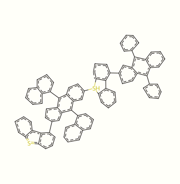 c1ccc(-c2c3ccccc3c(-c3ccccc3)c3cc(-c4cccc5c4-c4ccccc4[SH]5c4ccc5c(-c6cccc7ccccc67)c6ccc(-c7cccc8sc9ccccc9c78)cc6c(-c6cccc7ccccc67)c5c4)ccc23)cc1